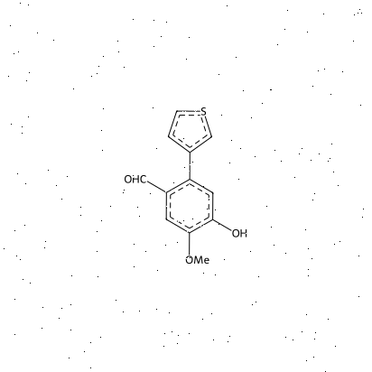 COc1cc(C=O)c(-c2ccsc2)cc1O